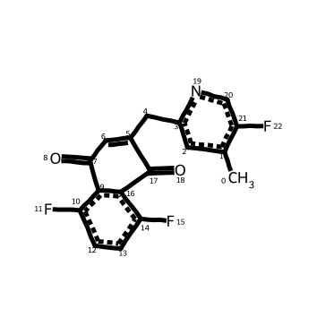 Cc1cc(CC2=CC(=O)c3c(F)ccc(F)c3C2=O)ncc1F